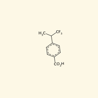 CC(c1ccc(C(=O)O)cc1)C(F)(F)F